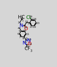 C#CCN(Cc1ccc(-c2noc(C(F)(F)F)n2)cc1)C(=O)Cc1ccccc1Cl